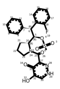 CS(=O)(=O)O[C@H]([C@H](c1ccccc1)c1ccccc1F)[C@H]1CCCN1C(=O)c1n[nH]cc(O)c1=O